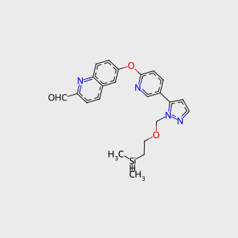 C[SiH](C)CCOCn1nccc1-c1ccc(Oc2ccc3nc(C=O)ccc3c2)nc1